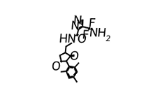 Cc1cc(C)c(C2C(=O)CC(CCNC(=O)c3nn(C)cc3C(N)(F)F)C2=O)c(C)c1